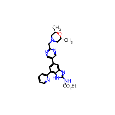 CCOC(=O)Nc1nc2cc(-c3cnc(CN4C[C@@H](C)O[C@@H](C)C4)nc3)cc(-c3ccccn3)c2[nH]1